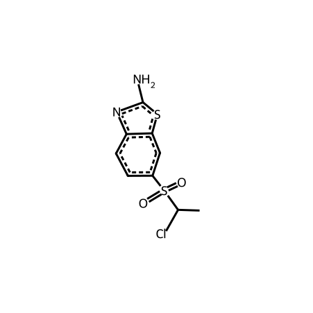 CC(Cl)S(=O)(=O)c1ccc2nc(N)sc2c1